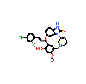 CCOc1cc(O)c(C(=O)C=Cc2ccc(Cl)cc2Cl)cc1CN1CCC=C(n2c(=O)[nH]c3ccccc32)C1